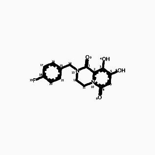 O=C1c2c(O)c(O)cc(=O)n2CCN1Cc1ccc(F)cc1